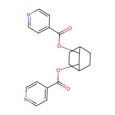 O=C(OC1C2CCC(CC2)C1OC(=O)c1ccncc1)c1ccncc1